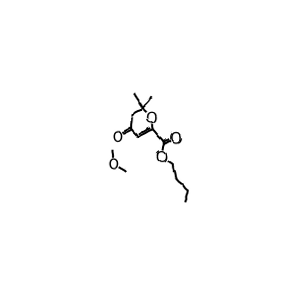 CCCCOC(=O)C1=CC(=O)CC(C)(C)O1.COC